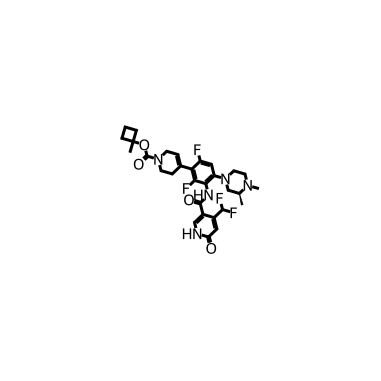 C[C@H]1CN(c2cc(F)c(C3=CCN(C(=O)OC4(C)CCC4)CC3)c(F)c2NC(=O)c2c[nH]c(=O)cc2C(F)F)CCN1C